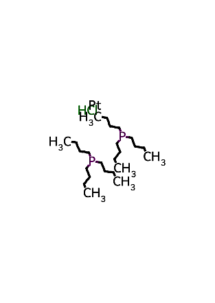 CCCCP(CCCC)CCCC.CCCCP(CCCC)CCCC.Cl.[Pt]